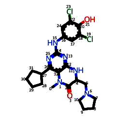 CN1C(=O)C(CN2CCCC2)Nc2nc(Nc3cc(Cl)c(O)c(Cl)c3)nc(C3CCCC3)c21